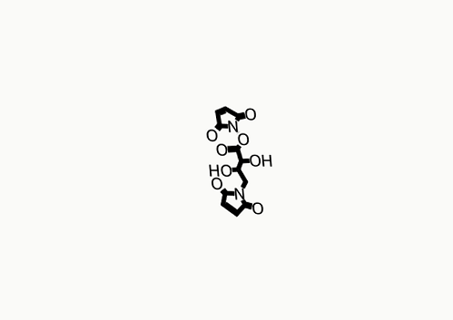 O=C(ON1C(=O)C=CC1=O)C(O)C(O)CN1C(=O)C=CC1=O